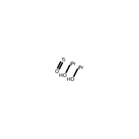 CC(C)O.CC(C)O.[O]=[Ti]